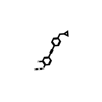 Fc1cc(C#Cc2ccc(CC3CC3)cc2)ccc1N=C=S